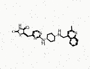 Cc1cc(CN[C@H]2CC[C@@H](Nc3nccc(C=C4SC(=O)NC4=O)n3)CC2)c2ccccc2n1